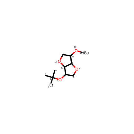 CCC(C)(C)OC1COC2C(OC(C)(C)C)COC12